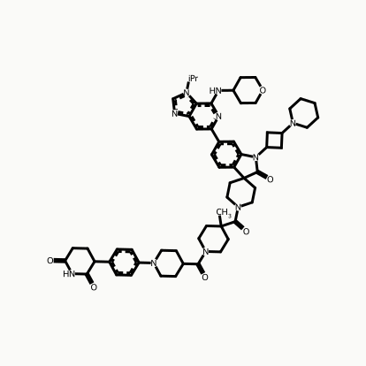 CC(C)n1cnc2cc(-c3ccc4c(c3)N(C3CC(N5CCCCC5)C3)C(=O)C43CCN(C(=O)C4(C)CCN(C(=O)C5CCN(c6ccc(C7CCC(=O)NC7=O)cc6)CC5)CC4)CC3)nc(NC3CCOCC3)c21